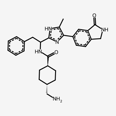 Cc1[nH]c(C(Cc2ccccc2)NC(=O)[C@H]2CC[C@H](CN)CC2)nc1-c1ccc2c(c1)C(=O)NC2